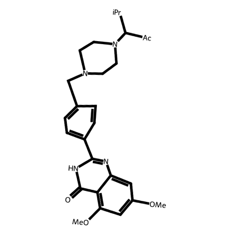 COc1cc(OC)c2c(=O)[nH]c(-c3ccc(CN4CCN(C(C(C)=O)C(C)C)CC4)cc3)nc2c1